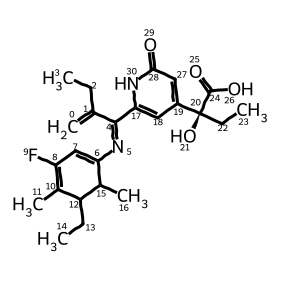 C=C(CC)/C(=N\C1=CC(F)=C(C)C(CC)C1C)c1cc([C@@](O)(CC)C(=O)O)cc(=O)[nH]1